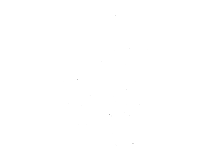 c1ccc(-c2nc(-c3ccccc3)nc(-c3ccc(-c4nc5ccccc5c5c4cc(-c4nc(-c6ccccc6)nc(-c6ccccc6)n4)c4ccccc45)cc3)n2)cc1